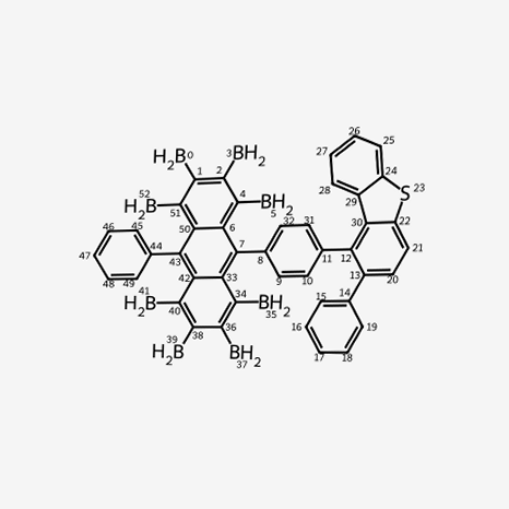 Bc1c(B)c(B)c2c(-c3ccc(-c4c(-c5ccccc5)ccc5sc6ccccc6c45)cc3)c3c(B)c(B)c(B)c(B)c3c(-c3ccccc3)c2c1B